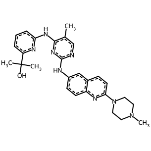 Cc1cnc(Nc2ccc3nc(N4CCN(C)CC4)ccc3c2)nc1Nc1cccc(C(C)(C)O)n1